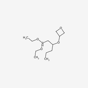 CCCC(C[SiH](OCC)OCC)OC1COC1